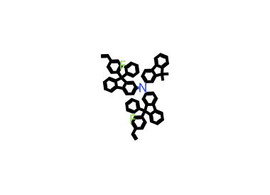 C=Cc1ccc(C2(c3ccccc3F)c3ccccc3-c3ccc(N(c4ccc5c(c4)C(C)(C)c4ccccc4-5)c4ccc5c(c4)C(c4ccc(C=C)cc4)(c4ccccc4F)c4ccccc4-5)cc32)cc1